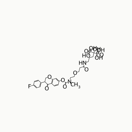 CN(CCOCCC(=O)NCCCC(O)(P(=O)(O)O)P(=O)(O)O)C(=O)Oc1ccc2c(c1)OCC(c1ccc(F)cc1)C2=O